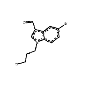 O=Cc1cn(CCCCl)c2ccc(Br)cc12